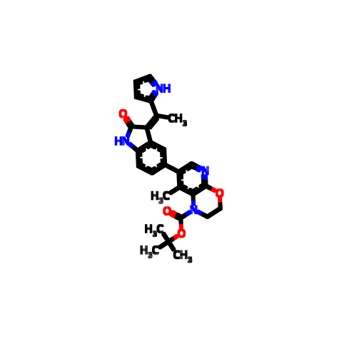 C/C(=C1/C(=O)Nc2ccc(-c3cnc4c(c3C)N(C(=O)OC(C)(C)C)CCO4)cc21)c1ccc[nH]1